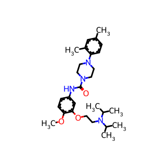 COc1ccc(NC(=O)N2CCN(c3ccc(C)cc3C)CC2)cc1OCCN(C(C)C)C(C)C